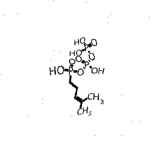 CC(C)=CCCP(=O)(O)OP(=O)(O)OP(=O)(O)O